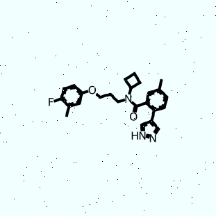 Cc1ccc(-c2cn[nH]c2)c(C(=O)N(CCCOc2ccc(F)c(C)c2)C2CCC2)c1